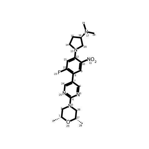 C[C@@H]1CN(c2ncc(-c3cc([N+](=O)[O-])c(N4CC[C@@H](N(C)C)C4)cc3F)cn2)C[C@H](C)O1